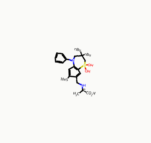 CCCCC1(CCCC)CN(c2ccccc2)c2cc(SC)c(CN[C@H](C)C(=O)O)cc2S(O)(O)C1